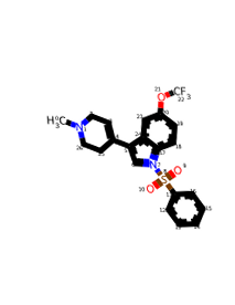 CN1CC=C(c2cn(S(=O)(=O)c3ccccc3)c3ccc(OC(F)(F)F)cc23)CC1